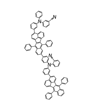 N#Cc1cccc(N(c2ccccc2)c2cccc(-c3ccc4c5c(cccc35)-c3c-4c(-c4ccccc4)c4ccc(-c5ccc(N(c6cccc(-c7ccc8c9c(cccc79)-c7c-8c(-c8ccccc8)c8ccccc8c7-c7ccccc7)c6)c6ccccc6C#N)cc5)cc4c3-c3ccccc3)c2)c1